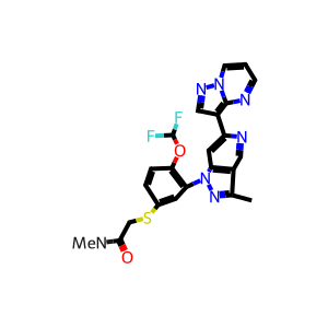 CNC(=O)CSc1ccc(OC(F)F)c(-n2nc(C)c3cnc(-c4cnn5cccnc45)cc32)c1